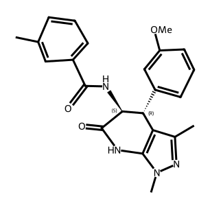 COc1cccc([C@@H]2c3c(C)nn(C)c3NC(=O)[C@H]2NC(=O)c2cccc(C)c2)c1